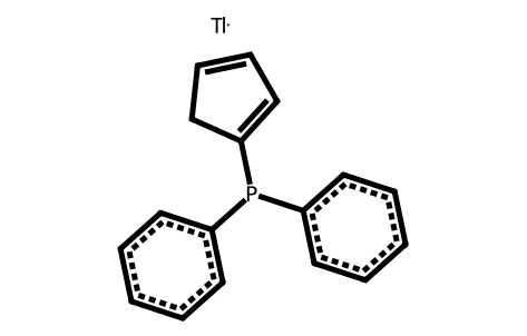 C1=CCC(P(c2ccccc2)c2ccccc2)=C1.[Tl]